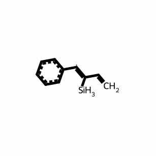 C=CC([SiH3])=[C]c1ccccc1